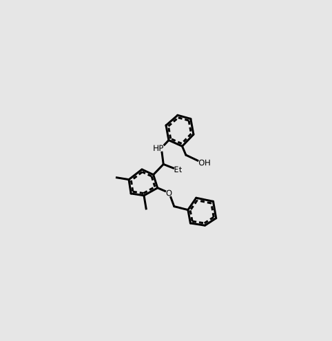 CCC(Pc1ccccc1CO)c1cc(C)cc(C)c1OCc1ccccc1